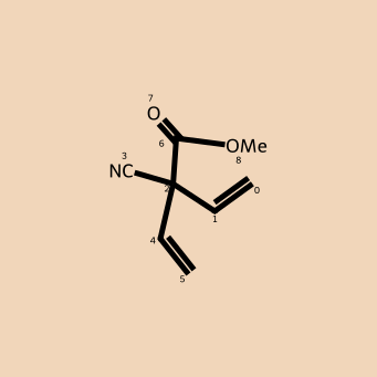 C=CC(C#N)(C=C)C(=O)OC